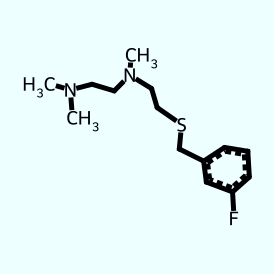 CN(C)CCN(C)CCSCc1cccc(F)c1